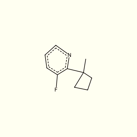 CC1(c2ncccc2F)CCC1